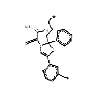 CO[C@H](C)C(=O)N1N=C(c2cccc(F)c2)SC1(CCCN)c1ccccc1